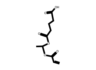 C=CC(=O)OC(C)OC(=O)CCCC(=O)O